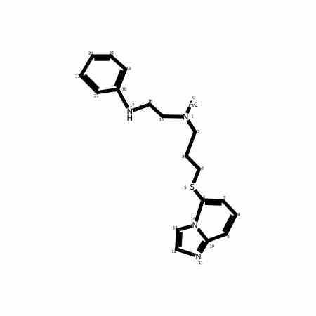 CC(=O)N(CCCSc1cccc2nccn12)CCNc1ccccc1